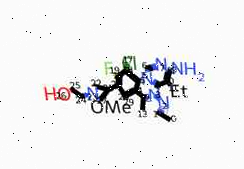 C/C=N/N(c1ncnc(N)c1CC)C(C)c1cc(Cl)c(F)c(C2CN(CCO)C2)c1OC